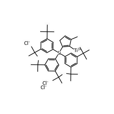 CC1=CCC([Si](c2cc(C(C)(C)C)cc(C(C)(C)C)c2)(c2cc(C(C)(C)C)cc(C(C)(C)C)c2)c2cc(C(C)(C)C)cc(C(C)(C)C)c2)=[C]1[Ti+3].[Cl-].[Cl-].[Cl-]